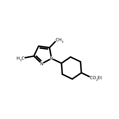 CCOC(=O)C1CCC(n2nc(C)cc2C)CC1